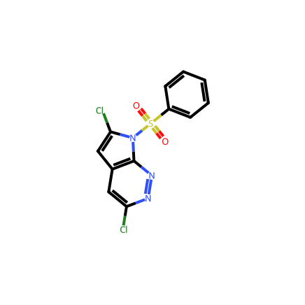 O=S(=O)(c1ccccc1)n1c(Cl)cc2cc(Cl)nnc21